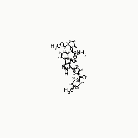 COCC1CCCN1N(C(N)=O)c1cccc2c1C(=O)c1c-2n[nH]c1-c1ccc(C(=O)N2CCN(C)CC2)s1